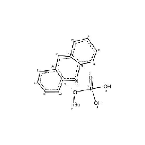 CCCCOP(=O)(O)O.c1ccc2nc3ccccc3cc2c1